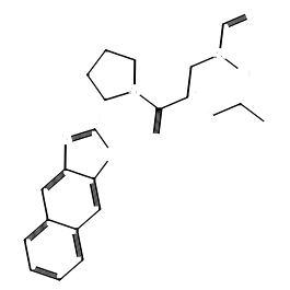 CCC[C@@H](CN(O)C=O)C(=O)N1CCC[C@H]1c1nc2cc3ccccc3cc2o1